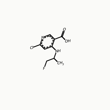 CC(CF)Nc1cc(Cl)ncc1C(=O)O